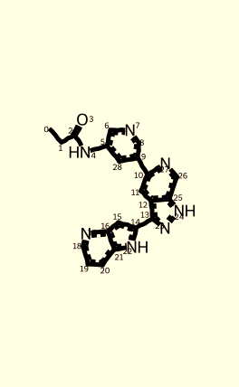 CCC(=O)Nc1cncc(-c2cc3c(-c4cc5ncccc5[nH]4)n[nH]c3cn2)c1